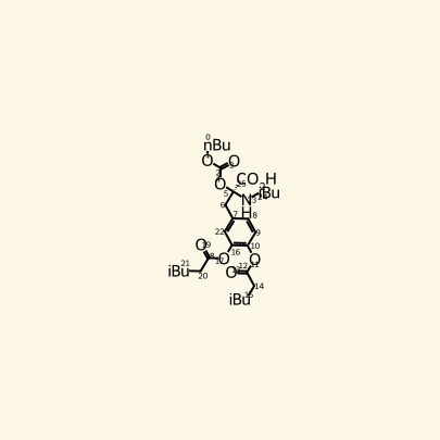 CCCCOC(=O)O[C@](Cc1ccc(OC(=O)CC(C)CC)c(OC(=O)CC(C)CC)c1)(NC(C)CC)C(=O)O